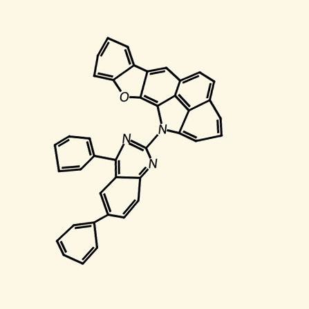 c1ccc(-c2ccc3nc(-n4c5cccc6ccc7cc8c9ccccc9oc8c4c7c65)nc(-c4ccccc4)c3c2)cc1